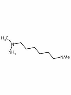 CNCCCCCCN(C)N